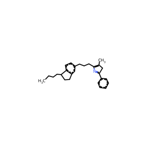 CCCCC1CCc2cc(CCCC3=C(C)CC(c4ccccc4)=N3)ccc21